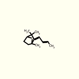 C/C=C/C=C1\C2(C)CCC(O2)C1(C)C